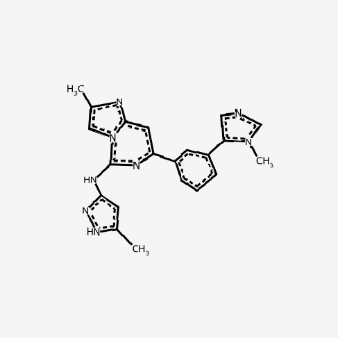 Cc1cn2c(Nc3cc(C)[nH]n3)nc(-c3cccc(-c4cncn4C)c3)cc2n1